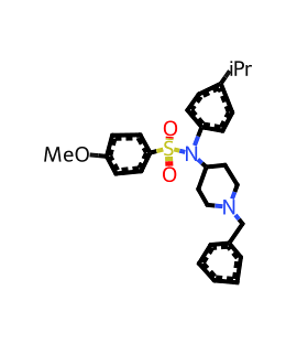 COc1ccc(S(=O)(=O)N(c2ccc(C(C)C)cc2)C2CCN(Cc3ccccc3)CC2)cc1